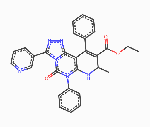 CCOC(=O)C1=C(c2ccccc2)c2c(n(-c3ccccc3)c(=O)n3c(-c4cccnc4)nnc23)NC1C